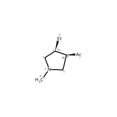 CC[C@@H]1CN(C)C[C@@H]1C(C)=O